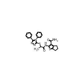 CC(Sc1nnc(-c2ccccc2)n1-c1ccccc1)C(=O)Nc1sc2c(c1C(N)=O)CCC2